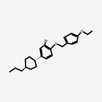 CCC[C@H]1CC[C@H](c2ccc(SCc3ccc(OCC)cc3)c(Br)c2)CC1